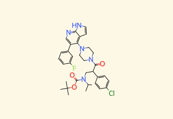 CC(C)N(CC(C(=O)N1CCN(c2c(-c3cccc(F)c3)cnc3[nH]ccc23)CC1)c1ccc(Cl)cc1)C(=O)OC(C)(C)C